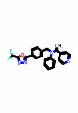 C=C(c1ccncc1)N(Cc1ccc(-c2nnc(C(F)F)o2)cc1)c1ccccc1